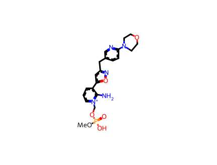 COP(=O)(O)OC[n+]1cccc(-c2cc(Cc3ccc(N4CCOCC4)nc3)no2)c1N